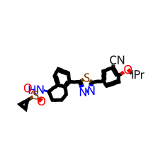 CC(C)Oc1ccc(-c2nnc(-c3cccc4c3CCC[C@H]4NS(=O)(=O)C3CC3)s2)cc1C#N